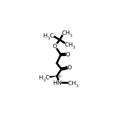 CN[C@@H](C)C(=O)CC(=O)OC(C)(C)C